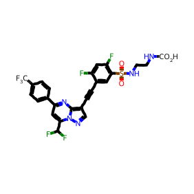 O=C(O)NCCNS(=O)(=O)c1cc(C#Cc2cnn3c(C(F)F)cc(-c4ccc(C(F)(F)F)cc4)nc23)c(F)cc1F